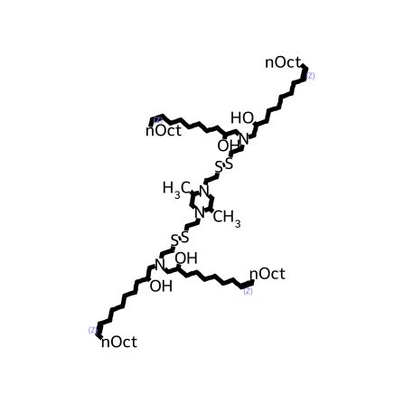 CCCCCCCC/C=C\CCCCCCC(O)CN(CCSSCCN1CC(C)N(CCSSCCN(CC(O)CCCCCC/C=C\CCCCCCCC)CC(O)CCCCCC/C=C\CCCCCCCC)CC1C)CC(O)CCCCCC/C=C\CCCCCCCC